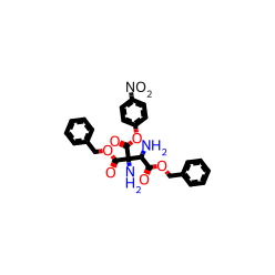 NC(C(=O)OCc1ccccc1)C(N)(C(=O)OCc1ccccc1)C(=O)Oc1ccc([N+](=O)[O-])cc1